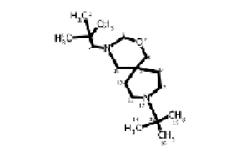 CC(C)(C)CN1COCC2(CCN(C(C)(C)C)CC2)C1